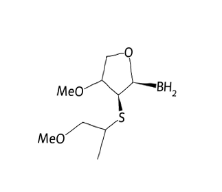 B[C@@H]1OCC(OC)[C@@H]1SC(C)COC